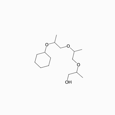 CC(CO)OCC(C)OCC(C)OC1CCCCC1